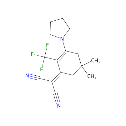 CC1(C)CC(=C(C#N)C#N)C(C(F)(F)F)=C(N2CCCC2)C1